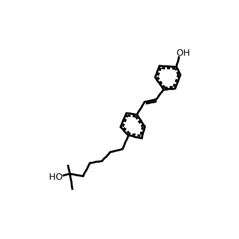 CC(C)(O)CCCCCc1ccc(C=Cc2ccc(O)cc2)cc1